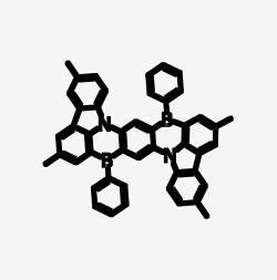 Cc1ccc2c(c1)c1cc(C)cc3c1n2-c1cc2c(cc1B3c1ccccc1)-n1c3ccc(C)cc3c3cc(C)cc(c31)B2c1ccccc1